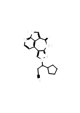 N#CCC(C1CCCC1)n1cc2c(n1)NC(=O)c1c[nH]c3nccc-2c13